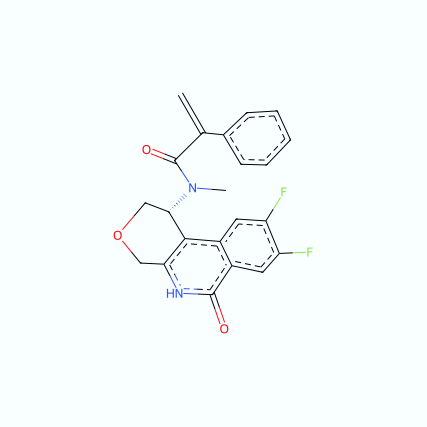 C=C(C(=O)N(C)[C@H]1COCc2[nH]c(=O)c3cc(F)c(F)cc3c21)c1ccccc1